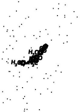 CCn1c(=O)c(-c2ccc(S(=O)(=O)N3CCCC3)cc2C)cc2cnc(NCCC3CCN(C)CC3)nc21